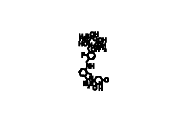 BC1(N2Cc3c(NCc4cccc(CN5C(B)(O)C(O)(O)OC(B)(O)C5(O)O)c4F)cccc3C2=O)CCC(=O)NC1=O